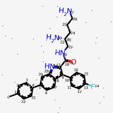 Cc1ccc(-c2ccc3c(-c4ccc(F)cc4)c(C(=O)NC[C@H](N)CCCN)[nH]c3c2)cc1